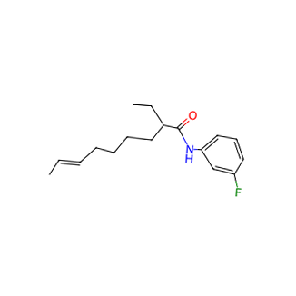 CC=CCCCCC(CC)C(=O)Nc1cccc(F)c1